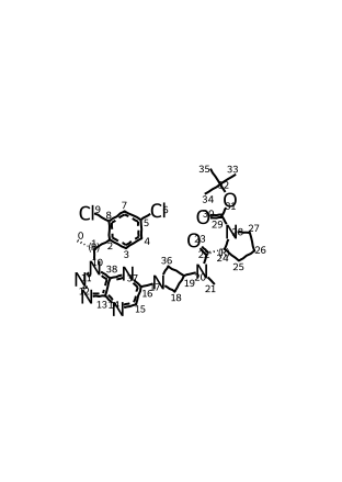 C[C@H](c1ccc(Cl)cc1Cl)n1nnc2ncc(N3CC(N(C)C(=O)[C@H]4CCCN4C(=O)OC(C)(C)C)C3)nc21